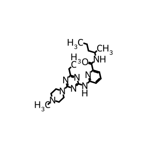 CCCC(C)NC(=O)c1cccc(Nc2nc(CC)nc(N3CCN(C)CC3)n2)n1